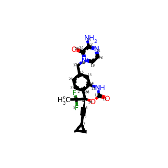 CC(F)(F)[C@@]1(C#CC2CC2)OC(=O)Nc2cc(Cn3ccnc(N)c3=O)ccc21